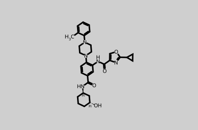 Cc1ccccc1N1CCN(c2ccc(C(=O)N[C@@H]3CCC[C@@H](O)C3)cc2NC(=O)c2coc(C3CC3)n2)CC1